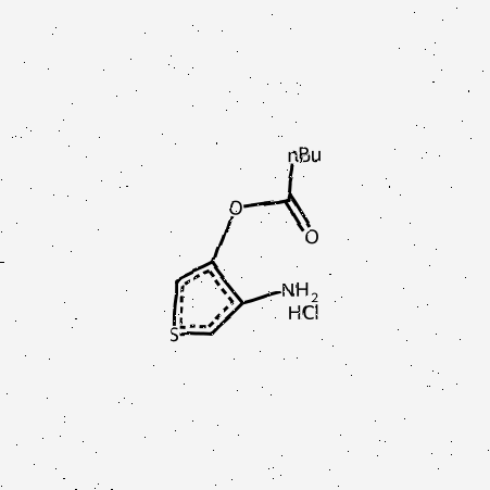 CCCCC(=O)Oc1cscc1N.Cl